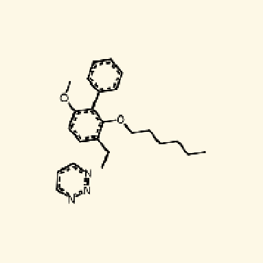 CCCCCCOc1c(CC)ccc(OC)c1-c1ccccc1.c1cnnnc1